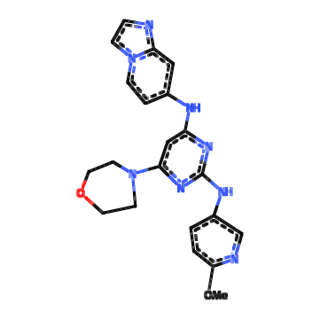 COc1ccc(Nc2nc(Nc3ccn4ccnc4c3)cc(N3CCOCC3)n2)cn1